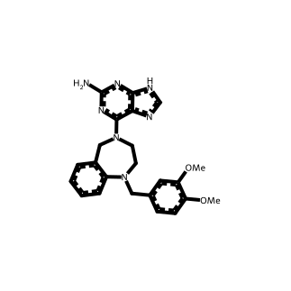 COc1ccc(CN2CCN(c3nc(N)nc4[nH]cnc34)Cc3ccccc32)cc1OC